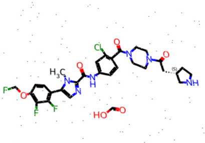 Cn1c(-c2ccc(OCF)c(F)c2F)cnc1C(=O)Nc1ccc(C(=O)N2CCN(C(=O)C[C@@H]3CCNC3)CC2)c(Cl)c1.O=CO